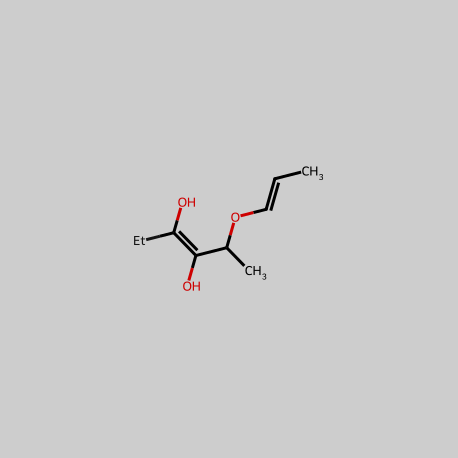 CC=COC(C)C(O)=C(O)CC